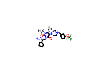 Cc1c(N2CCN(Cc3cccc(OC(F)(F)F)c3)CC2)c(=O)n(C[C@@H](N)c2ccccc2)c(=O)n1C